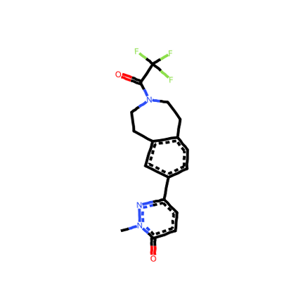 Cn1nc(-c2ccc3c(c2)CCN(C(=O)C(F)(F)F)CC3)ccc1=O